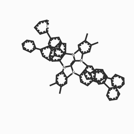 Cc1cc2c(cc1C)N(c1ccc3cc(-c4ccccc4)ccc3c1)C(=C1N(c3ccc4cc(-c5ccccc5)ccc4c3)c3cc(C)c(C)cc3N1c1ccc3cc(-c4ccccc4)ccc3c1)N2c1ccc2cc(-c3ccccc3)ccc2c1